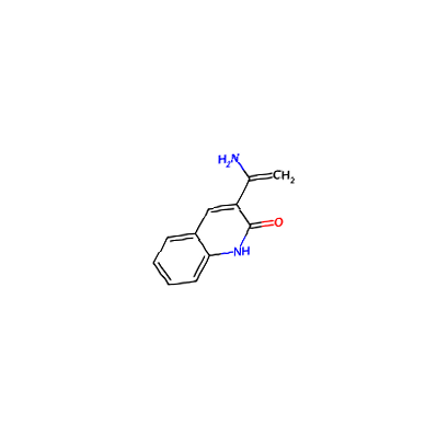 C=C(N)c1cc2ccccc2[nH]c1=O